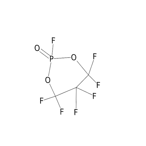 O=P1(F)OC(F)(F)C(F)(F)C(F)(F)O1